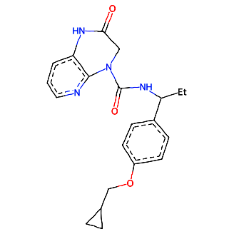 CCC(NC(=O)N1CC(=O)Nc2cccnc21)c1ccc(OCC2CC2)cc1